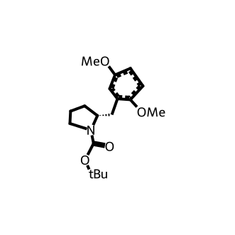 COc1ccc(OC)c(C[C@H]2CCCN2C(=O)OC(C)(C)C)c1